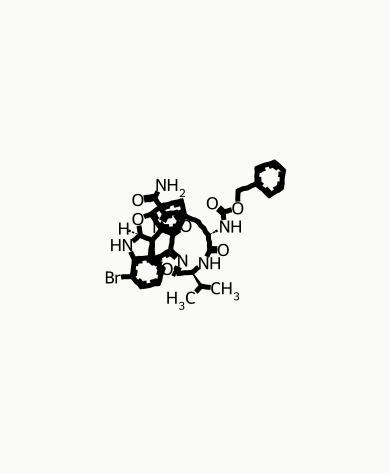 CC(C)[C@@H]1NC(=O)[C@@H](NC(=O)OCc2ccccc2)Cc2ccc3c(c2)C2(c4cccc(Br)c4N[C@H]2O3)c2oc1nc2-c1nc(C(N)=O)co1